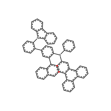 c1ccc(N(c2ccc3c4ccccc4c4ccccc4c3c2)c2ccc(-c3ccccc3-n3c4ccccc4c4ccccc43)cc2-c2cccc3ccccc23)cc1